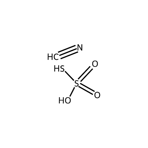 C#N.O=S(=O)(O)S